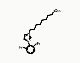 CCCCCCCCCCCCCCCCCCn1cc[n+](-c2c(C(C)C)cccc2C(C)C)c1